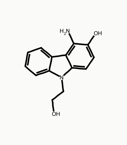 Nc1c(O)ccc2c1c1ccccc1n2CCO